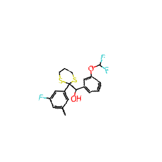 Cc1cc(F)cc(C2(C(O)c3cccc(OC(F)F)c3)SCCCS2)c1